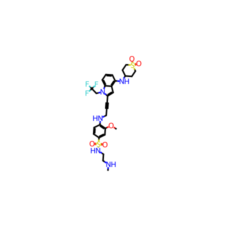 CNCCNS(=O)(=O)c1ccc(NCC#Cc2cc3c(NC4CCS(=O)(=O)CC4)cccc3n2CC(F)(F)F)c(OC)c1